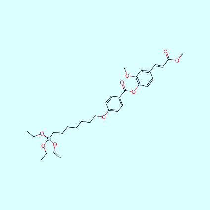 CCO[Si](CCCCCCCOc1ccc(C(=O)Oc2ccc(/C=C/C(=O)OC)cc2OC)cc1)(OCC)OCC